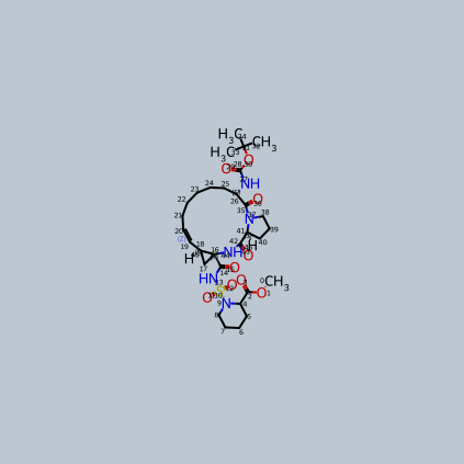 COC(=O)C1CCCCN1S(=O)(=O)NC(=O)[C@@]12C[C@H]1/C=C\CCCCC[C@H](NC(=O)OC(C)(C)C)C(=O)N1CCC[C@H]1C(=O)N2